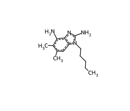 CCCCCn1c(N)nc2c(N)c(C)c(C)cc21